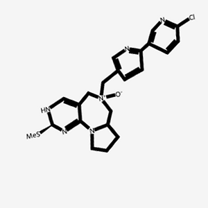 CS[C@@H]1N=C2C(=CN1)C[N+]([O-])(Cc1ccc(-c3ccc(Cl)nc3)nc1)CC1CCCN21